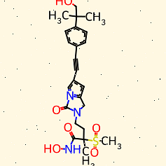 CC(C)(CO)c1ccc(C#Cc2cc3n(c2)C(=O)N(CCC(C)(C(=O)NO)S(C)(=O)=O)C3)cc1